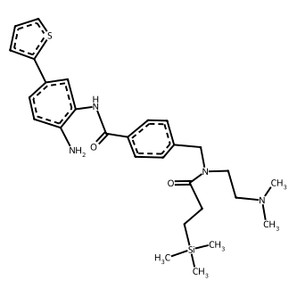 CN(C)CCN(Cc1ccc(C(=O)Nc2cc(-c3cccs3)ccc2N)cc1)C(=O)CC[Si](C)(C)C